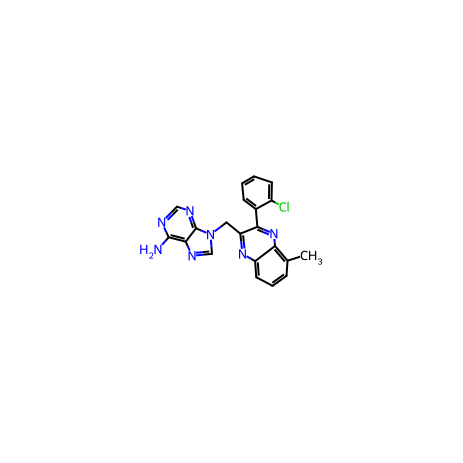 Cc1cccc2nc(Cn3cnc4c(N)ncnc43)c(-c3ccccc3Cl)nc12